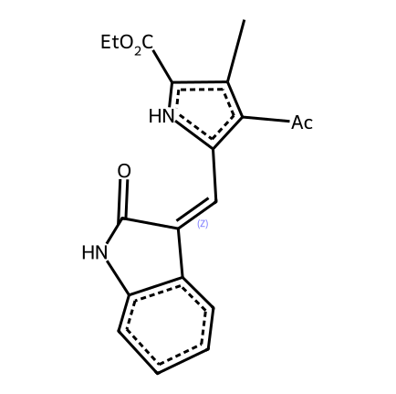 CCOC(=O)c1[nH]c(/C=C2\C(=O)Nc3ccccc32)c(C(C)=O)c1C